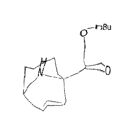 CCCCOC(=O)C12C=CC(CC1)N2